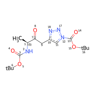 C[C@H](NC(=O)OC(C)(C)C)C(=O)Cc1cn(C(=O)OC(C)(C)C)nn1